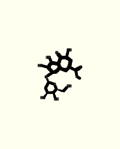 COC(=O)c1cc(O)c(=O)c2c(O)c(O)c(O[C@H]3C[C@@H](O)[C@H](O)[C@@H](CO)O3)cc2c1